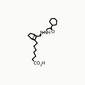 O=C(O)CCCCCCC1C2CCC(O2)C1C=NNCC(=O)C1CCCCC1